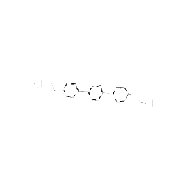 ClCCc1ccc(-c2ccc(-c3ccc(CCCl)cc3)cc2)cc1